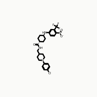 O=C(NCC1CCN(c2ccc(Cl)cc2)CC1)[C@H]1CC[C@H](Nc2ccc([N+](=O)[O-])c(C(F)(F)F)c2)CC1